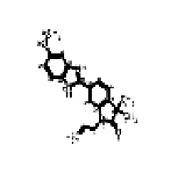 C=CCN1C(=O)C(C)(C)c2ccc(-c3nc4cc(OC)ccc4[nH]3)cc21